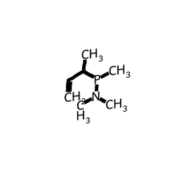 C=CC(C)P(C)N(C)C